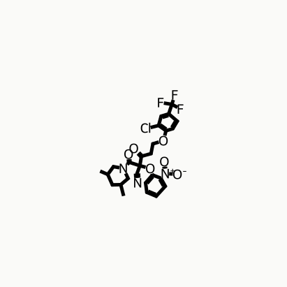 CC1CC(C)CN(C(=O)C(C#N)(Oc2ccccc2[N+](=O)[O-])C(=O)CCOc2ccc(C(F)(F)F)cc2Cl)C1